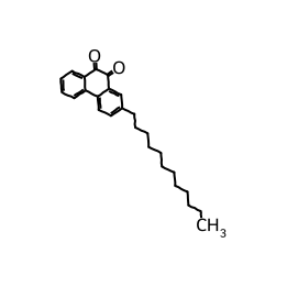 CCCCCCCCCCCCc1ccc2c(c1)C(=O)C(=O)c1ccccc1-2